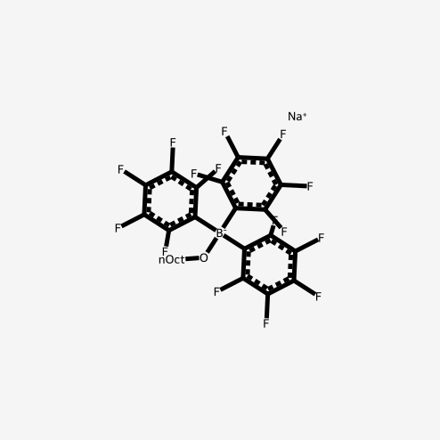 CCCCCCCCO[B-](c1c(F)c(F)c(F)c(F)c1F)(c1c(F)c(F)c(F)c(F)c1F)c1c(F)c(F)c(F)c(F)c1F.[Na+]